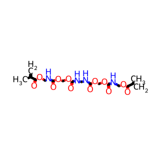 C=C(C)C(=O)OCNC(=O)OCOC(=O)NCNC(=O)OCOC(=O)NCOC(=O)C(=C)C